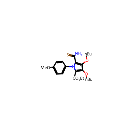 CCCCOc1c(OCCCC)c(C(N)=S)n(-c2ccc(OC)cc2)c1C(=O)OCC